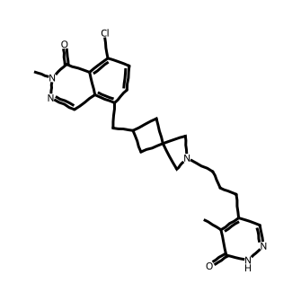 Cc1c(CCCN2CC3(CC(Cc4ccc(Cl)c5c(=O)n(C)ncc45)C3)C2)cn[nH]c1=O